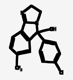 OC1(c2ccc(Cl)cc2)c2cc(C(F)(F)F)ccc2C2=NCCN21